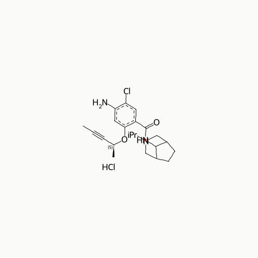 CC#C[C@H](C)Oc1cc(N)c(Cl)cc1C(=O)NC1C2CCC1CN(C(C)C)C2.Cl